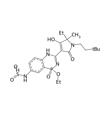 CCOP1(=O)N=C(C2=C(O)C(C)(CC)N(CCC(C)(C)C)C2=O)Nc2ccc(N[SH](=O)=O)cc21